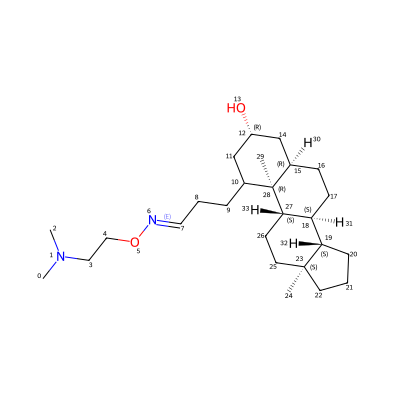 CN(C)CCO/N=C/CCC1C[C@H](O)C[C@H]2CC[C@H]3[C@@H]4CCC[C@@]4(C)CC[C@@H]3[C@@]12C